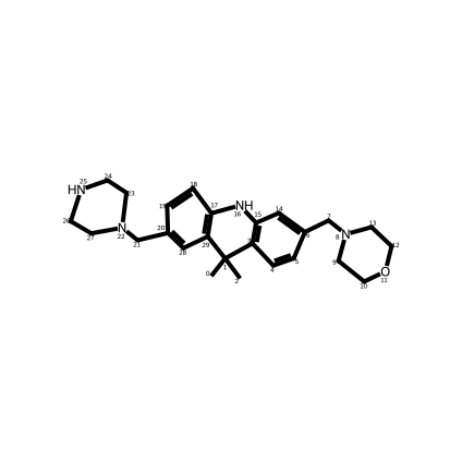 CC1(C)c2ccc(CN3CCOCC3)cc2Nc2ccc(CN3CCNCC3)cc21